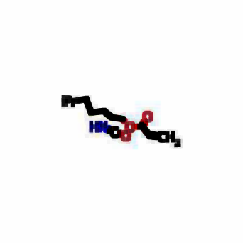 C=CC(=O)OCCCCCC(C)C.N=C=O